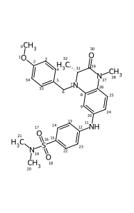 COc1ccc(CN2c3cc(Nc4ccc(S(=O)(=O)N(C)C)cc4)ccc3N(C)C(=O)[C@H]2C)cc1